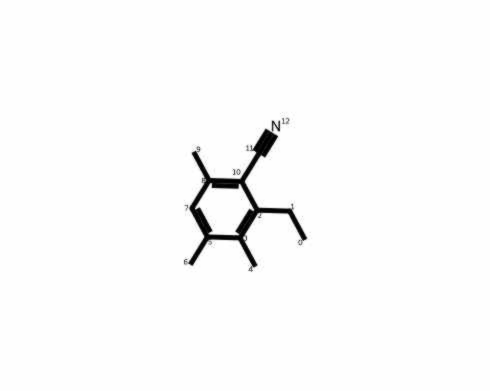 CCc1c(C)c(C)cc(C)c1C#N